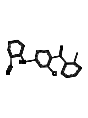 Cc1ccccc1C(=S)c1ccc(Nc2ccccc2C#N)cc1Cl